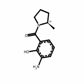 C[C@@H]1CCCN1C(=O)c1cccc(N)c1O